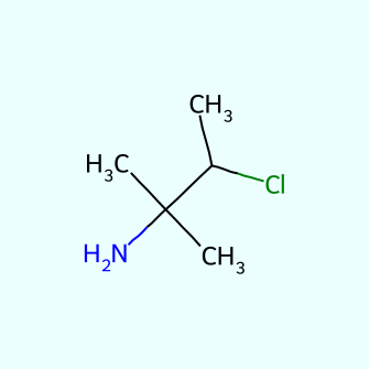 CC(Cl)C(C)(C)N